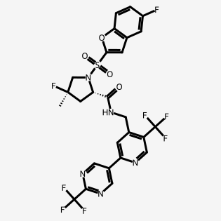 C[C@@]1(F)C[C@@H](C(=O)NCc2cc(-c3cnc(C(F)(F)F)nc3)ncc2C(F)(F)F)N(S(=O)(=O)c2cc3cc(F)ccc3o2)C1